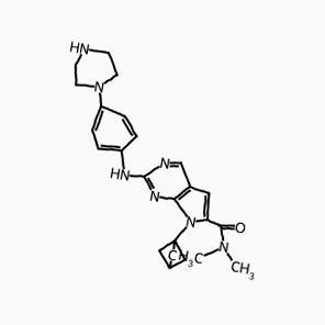 CN(C)C(=O)c1cc2cnc(Nc3ccc(N4CCNCC4)cc3)nc2n1C12CC(C1)C2